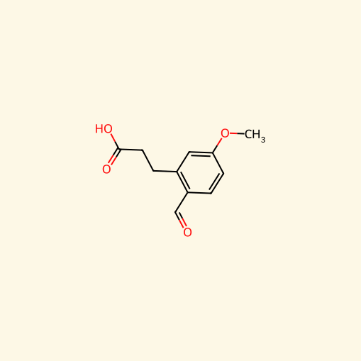 COc1ccc(C=O)c(CCC(=O)O)c1